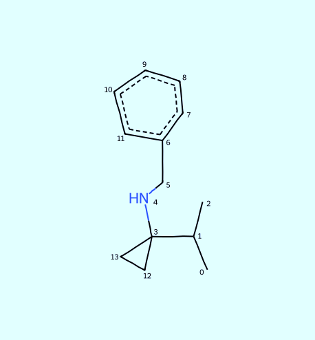 CC(C)C1(NCc2ccccc2)CC1